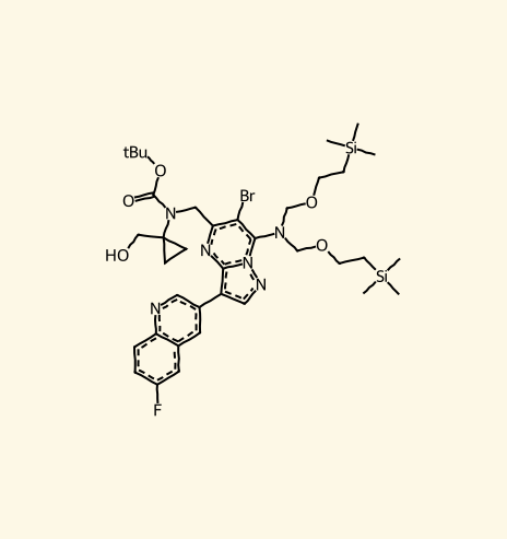 CC(C)(C)OC(=O)N(Cc1nc2c(-c3cnc4ccc(F)cc4c3)cnn2c(N(COCC[Si](C)(C)C)COCC[Si](C)(C)C)c1Br)C1(CO)CC1